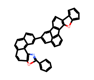 c1ccc(-c2nc3c(ccc4ccc5ccc(-c6cc7c8c(cccc8c6)-c6c-7ccc7c6oc6ccccc67)cc5c43)o2)cc1